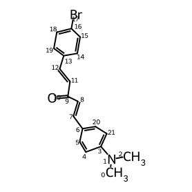 CN(C)c1ccc(/C=C/C(=O)/C=C/c2ccc(Br)cc2)cc1